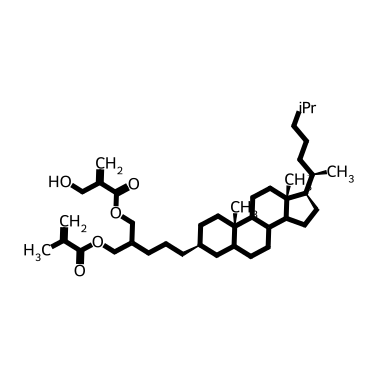 C=C(C)C(=O)OCC(CCC[C@H]1CC[C@@]2(C)C(CCC3C2CC[C@@]2(C)C3CC[C@@H]2[C@H](C)CCCC(C)C)C1)COC(=O)C(=C)CO